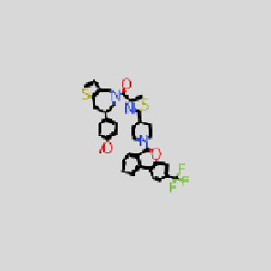 COc1ccc(C2Cc3sccc3CN(C(=O)c3csc(C4CCN(C(=O)c5ccccc5-c5ccc(C(F)(F)F)cc5)CC4)n3)C2)cc1